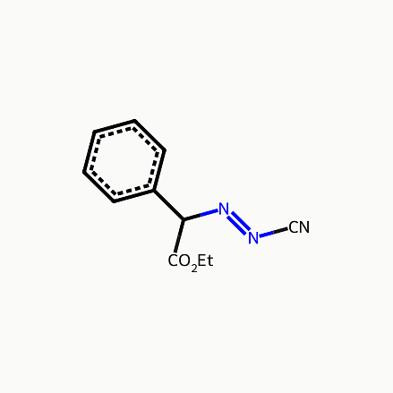 CCOC(=O)C(N=NC#N)c1ccccc1